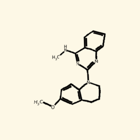 CNc1nc(N2CCCc3cc(OC)ccc32)nc2ccccc12